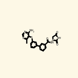 Cc1ncnc(N)c1Sc1cccc(-c2cccc(C(=O)NN3CC(=O)NC3=O)c2)c1